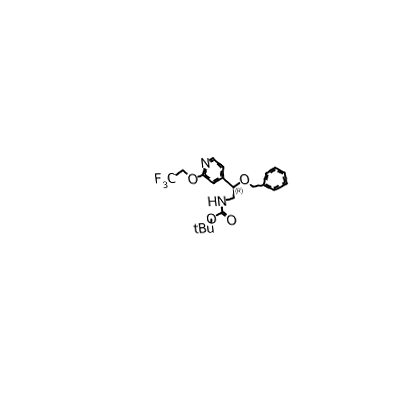 CC(C)(C)OC(=O)NC[C@H](OCc1ccccc1)c1ccnc(OCC(F)(F)F)c1